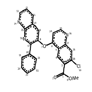 COC(=O)c1cc2c(Oc3cc4cccnc4nc3-c3ccccc3)ccnc2cc1Cl